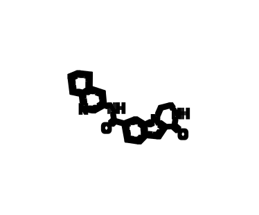 O=C(Nc1cnc2ccccc2c1)c1ccc2cc3n(c2c1)CCNC3=O